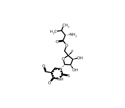 CC(C)[C@H](N)C(=O)OC[C@@]1(F)O[C@@H](n2cc(C=O)c(=O)[nH]c2=S)[C@H](O)[C@@H]1O